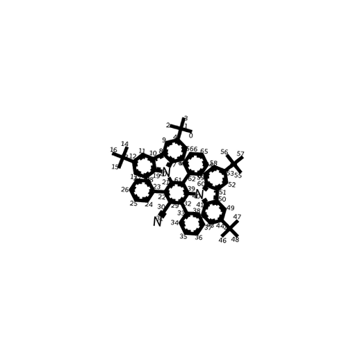 CC(C)(C)c1ccc2c(c1)c1cc(C(C)(C)C)ccc1n2-c1c(-c2ccccc2)c(C#N)c(-c2ccccc2)c(-n2c3ccc(C(C)(C)C)cc3c3cc(C(C)(C)C)ccc32)c1-c1ccccc1